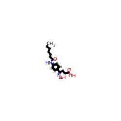 CCCCCCC(=O)Nc1ccc(/C(CCC(=O)O)=N/O)cc1